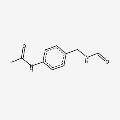 CC(=O)Nc1ccc(CN[C]=O)cc1